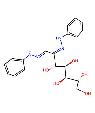 OC[C@@H](O)[C@@H](O)[C@H](O)[C@H](O)C(/C=N/Nc1ccccc1)=N/Nc1ccccc1